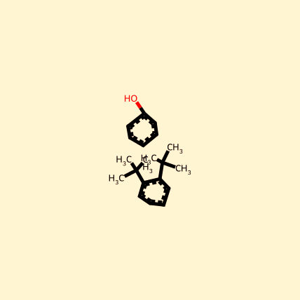 CC(C)(C)c1ccccc1C(C)(C)C.Oc1ccccc1